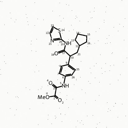 COC(=O)C(=O)Nc1ccc(C(CC2CCCC2)C(=O)Nc2nccs2)cc1